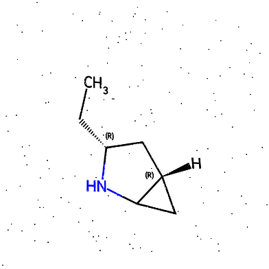 CC[C@@H]1C[C@@H]2CC2N1